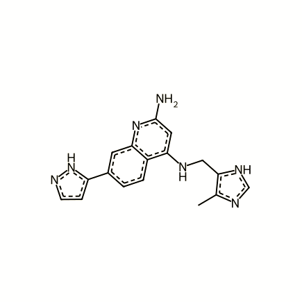 Cc1nc[nH]c1CNc1cc(N)nc2cc(-c3ccn[nH]3)ccc12